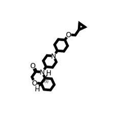 O=C1CO[C@H]2CCCC[C@@H]2N1C1CCN(C2CCC(OCC3CC3)CC2)CC1